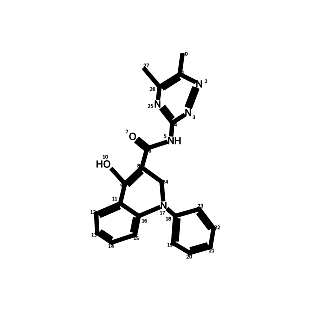 Cc1nnc(NC(=O)C2=C(O)c3ccccc3N(c3ccccc3)C2)nc1C